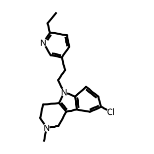 CCc1ccc(CCn2c3c(c4cc(Cl)ccc42)CN(C)CC3)cn1